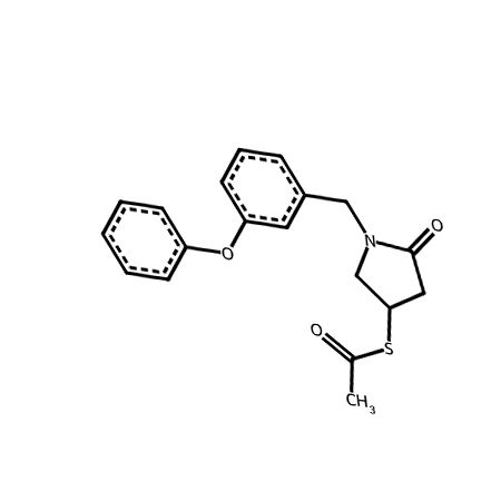 CC(=O)SC1CC(=O)N(Cc2cccc(Oc3ccccc3)c2)C1